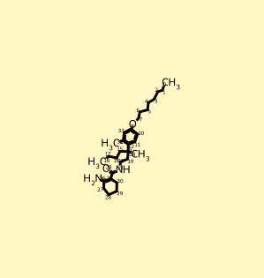 CCCCCCCCOc1ccc(C(C)(CCCC)CCNC(=O)C2=C(N)CCCC2)c(C)c1